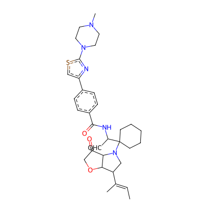 C/C=C(\C)C1CN(C2(C(C=O)NC(=O)c3ccc(-c4csc(N5CCN(C)CC5)n4)cc3)CCCCC2)C2C(=O)COC12